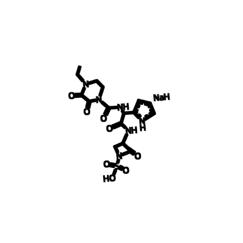 CCN1CCN(C(=O)NC(C(=O)NC2CN(S(=O)(=O)O)C2=O)c2ccc[nH]2)C(=O)C1=O.[NaH]